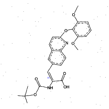 COc1cccc(OC)c1Oc1ccc2cc(/C=C(/NC(=O)OC(C)(C)C)C(=O)O)ccc2n1